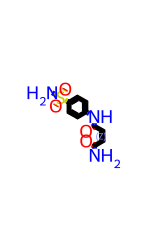 NC(=O)/C=C\C(=O)Nc1ccc(S(N)(=O)=O)cc1